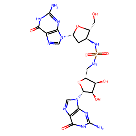 Nc1nc2c(ncn2[C@@H]2O[C@H](CNS(=O)(=O)N[C@H]3C[C@H](n4cnc5c(=O)[nH]c(N)nc54)O[C@@H]3CO)[C@@H](O)[C@H]2O)c(=O)[nH]1